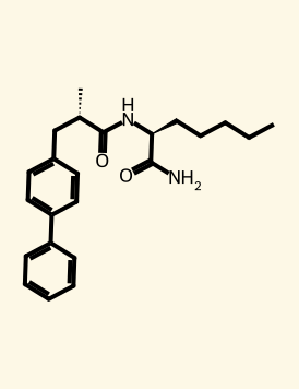 CCCCC[C@H](NC(=O)[C@@H](C)Cc1ccc(-c2ccccc2)cc1)C(N)=O